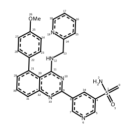 C=S(N)(=O)c1cncc(-c2nc(NCc3ccccn3)c3c(-c4ccc(OC)cc4)cccc3n2)c1